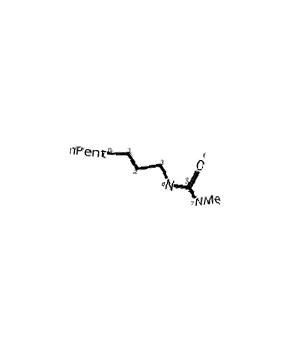 CCCCCCCC[N]C(=O)NC